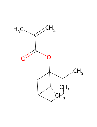 C=C(C)C(=O)OC12CC(CCC1C)C2(C)C